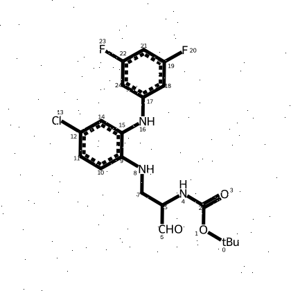 CC(C)(C)OC(=O)NC(C=O)CNc1ccc(Cl)cc1Nc1cc(F)cc(F)c1